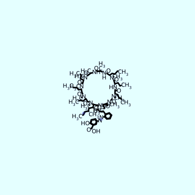 C/C=C/C(C)CC(OC(=O)CCc1ccccc1/N=N/c1ccc(O)c(C(=O)O)c1)C1C(=O)NC(CC)C(=O)N(C)C(=O)N(C)C(CCCC)C(=O)NC(CCC)C(=O)N(C)C(CCCC)C(=O)NC(C)C(=O)NC(C)C(=O)N(C)C(CCC)C(=O)N(C)C(CCCC)C(=O)N(C)C(CCC)C(=O)N1C